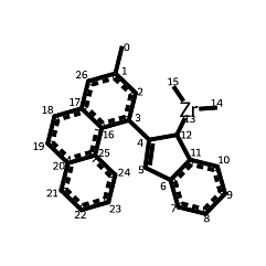 Cc1cc(C2=Cc3ccccc3[CH]2[Zr]([CH3])[CH3])c2c(ccc3ccccc32)c1